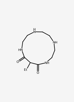 CCC1C(=O)NCCNCCNCCNC1=O